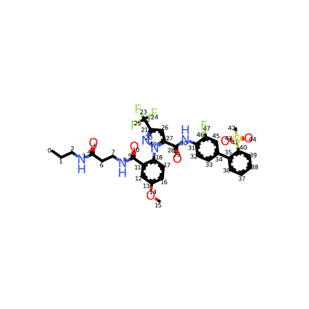 CCCNC(=O)CCNC(=O)c1cc(OC)ccc1-n1nc(C(F)(F)F)cc1C(=O)Nc1ccc(-c2ccccc2S(C)(=O)=O)cc1F